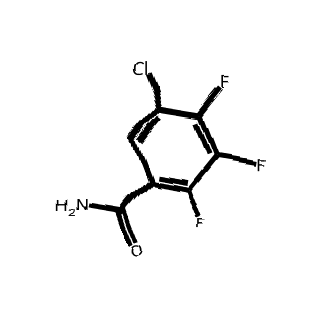 NC(=O)c1cc(Cl)c(F)c(F)c1F